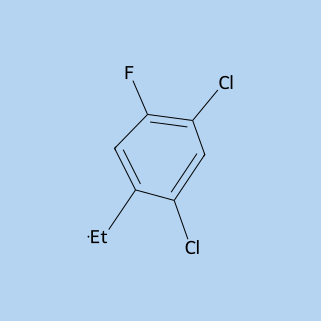 C[CH]c1cc(F)c(Cl)cc1Cl